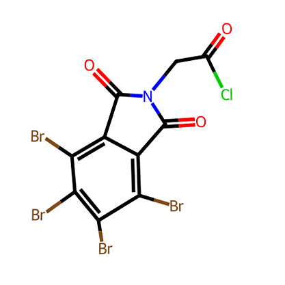 O=C(Cl)CN1C(=O)c2c(Br)c(Br)c(Br)c(Br)c2C1=O